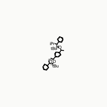 CC(ON(C(c1ccccc1)C(C)C)C(C)(C)C)c1ccc(C(C)ON(C(c2ccccc2)C(C)C)C(C)(C)C)cc1